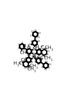 Cc1ccccc1-c1cc2c3c(c1)N(c1ccc(-c4ccccc4)cc1C)c1cc4c(cc1B3N(c1ccc(-c3ccccc3)cc1)c1cc3c(cc1-2)C(C)(C)CCC3(C)C)C(C)(C)CCC4(C)C